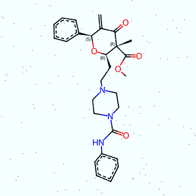 C=C1C(=O)[C@](C)(C(=O)OC)[C@@H](CCN2CCN(C(=O)Nc3ccccc3)CC2)O[C@H]1c1ccccc1